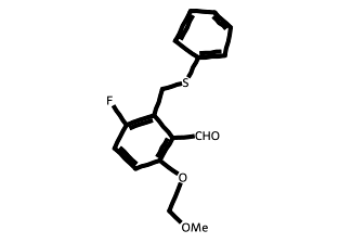 COCOc1ccc(F)c(CSc2ccccc2)c1C=O